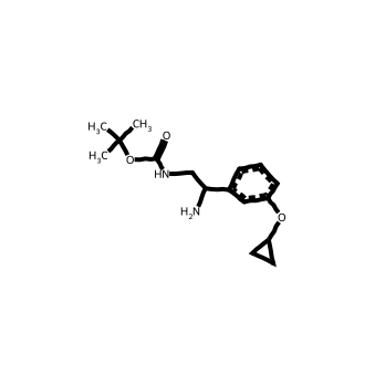 CC(C)(C)OC(=O)NCC(N)c1cccc(OC2CC2)c1